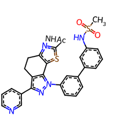 CC(=O)Nc1nc2c(s1)-c1c(c(-c3cccnc3)nn1-c1cccc(-c3cccc(NS(C)(=O)=O)c3)c1)CC2